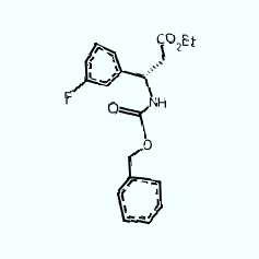 CCOC(=O)C[C@H](NC(=O)OCc1ccccc1)c1cccc(F)c1